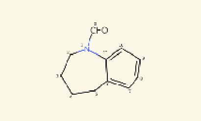 O=CN1CCCCc2ccccc21